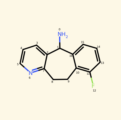 NC1c2cccnc2CCc2c(F)cccc21